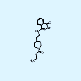 CCOC(=O)N1CCC(CCNc2n[nH]c(=O)c3ccccc23)CC1